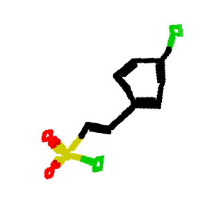 O=S(=O)(Cl)/C=C/c1ccc(Cl)cc1